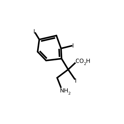 NCC(I)(C(=O)O)c1ccc(I)cc1I